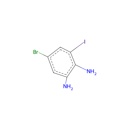 Nc1cc(Br)cc(I)c1N